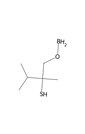 BOCC(C)(S)C(C)C